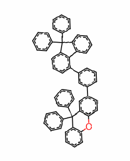 c1ccc(C2(c3ccccc3)c3ccccc3Oc3ccc(-c4cccc(-c5cccc6c5-c5ccccc5C6(c5ccccc5)c5ccccc5)c4)cc32)cc1